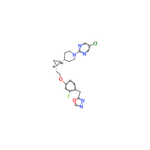 Fc1cc(OCC[C@@H]2C[C@@H]2C2CCN(c3ncc(Cl)cn3)CC2)ccc1Cc1nnco1